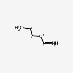 CC[CH]OC=N